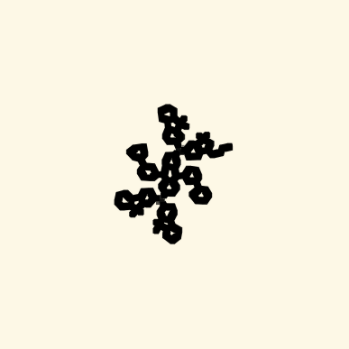 C=C/C=C\C1=CC(C)(C)c2cc(N(c3ccc4c(c3)C(C)(C)c3ccccc3-4)c3ccc4c(-c5cccc(-c6ccccc6)c5)c5cc(N(c6ccc7c(c6)C(C)(C)c6ccccc6-7)c6ccc7c(c6)C(C)(C)c6ccccc6-7)ccc5c(-c5cccc(-c6ccccc6)c5)c4c3)ccc21